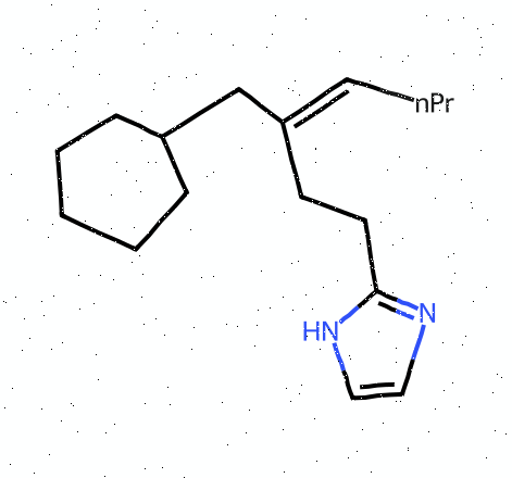 CCCC=C(CCc1ncc[nH]1)CC1CCCCC1